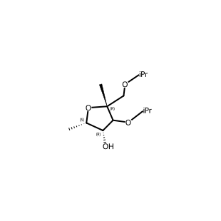 CC(C)OC[C@@]1(C)O[C@@H](C)[C@@H](O)C1OC(C)C